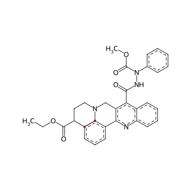 CCOC(=O)C1CCN(Cc2c(-c3ccccc3)nc3ccccc3c2C(=O)NN(C(=O)OC)c2ccccc2)CC1